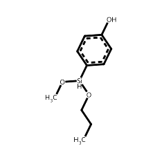 CCCO[SiH](OC)c1ccc(O)cc1